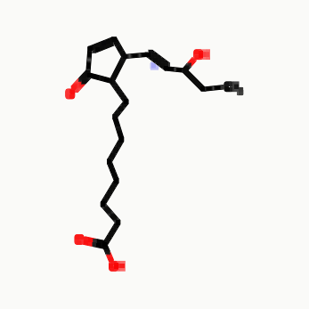 CCC(O)/C=C/C1C=CC(=O)C1CCCCCCCC(=O)O